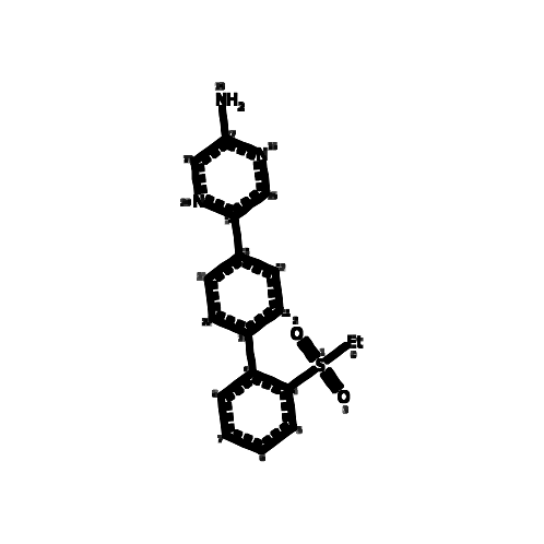 CCS(=O)(=O)c1ccccc1-c1ccc(-c2cnc(N)cn2)cc1